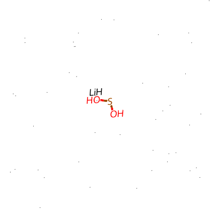 OSO.[LiH]